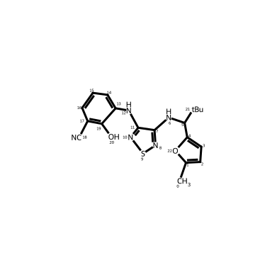 Cc1ccc(C(Nc2nsnc2Nc2cccc(C#N)c2O)C(C)(C)C)o1